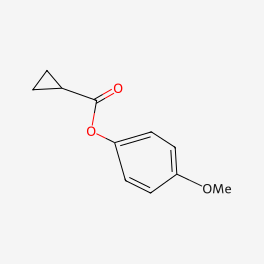 COc1ccc(OC(=O)C2CC2)cc1